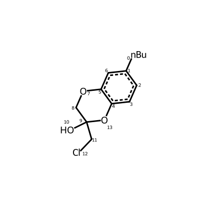 CCCCc1ccc2c(c1)OCC(O)(CCl)O2